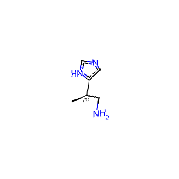 C[C@H](CN)c1cnc[nH]1